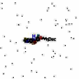 CCCCCCCCCCCCCCOc1ccc(C(=O)Nc2ccc(C[n+]3ccsc3C)cc2)cc1F.[Br-]